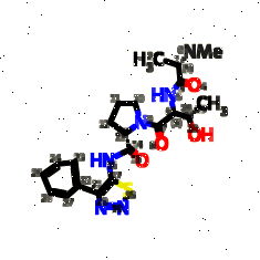 CN[C@@H](C)C(=O)N[C@H](C(=O)N1CCC[C@H]1C(=O)Nc1snnc1-c1ccccc1)[C@H](C)O